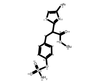 CCCc1csc(C(Cc2ccc(OS(N)(=O)=O)cc2)C(=O)OC(C)(C)C)n1